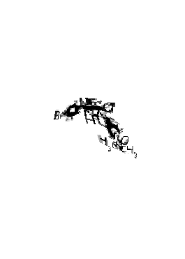 CN(C)C(=O)N1CCC(O)(Cn2cnc3c(-c4ccc(Br)cc4)nsc3c2=O)CC1